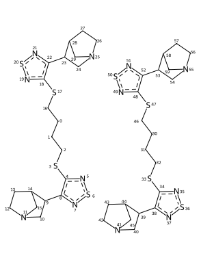 C(CCSc1nsnc1C1CN2CCC1C2)CSc1nsnc1C1CN2CCC1C2.C(CCSc1nsnc1C1CN2CCC1C2)CSc1nsnc1C1CN2CCC1C2